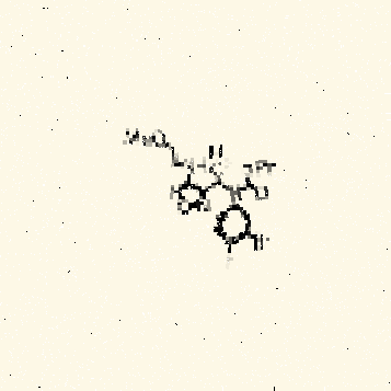 CCCC(=O)N(c1ccc(F)c(Br)c1)C(C)c1nonc1NCCOC